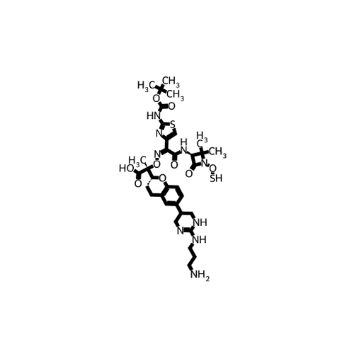 CC(C)(C)OC(=O)Nc1nc(/C(=N/O[C@](C)(C(=O)O)[C@H]2CCc3cc(C4CN=C(NCCCN)NC4)ccc3O2)C(=O)N[C@@H]2C(=O)N(OS)C2(C)C)cs1